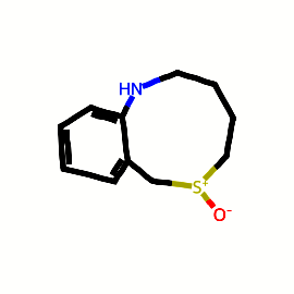 [O-][S+]1CCCCNc2ccccc2C1